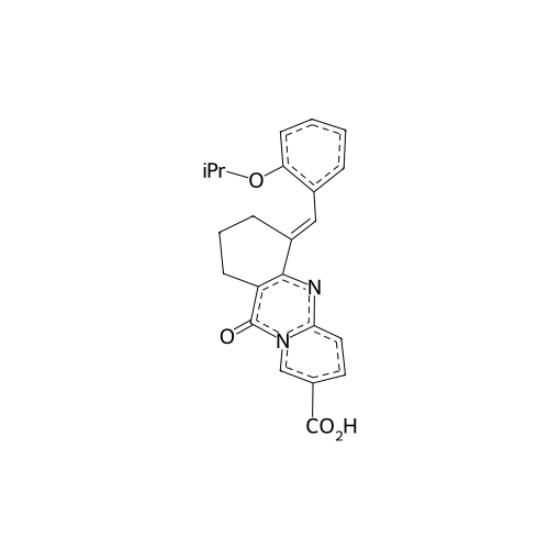 CC(C)Oc1ccccc1C=C1CCCc2c1nc1ccc(C(=O)O)cn1c2=O